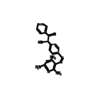 Nc1nc(N)c(/N=N\c2ccc(C(O)C(=O)c3ccccc3)cc2)c(N)n1